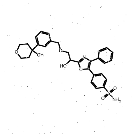 NS(=O)(=O)c1ccc(-c2oc(C(O)COCc3cccc(C4(O)CCOCC4)c3)nc2-c2ccccc2)cc1